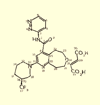 O=C(Nc1cccnn1)c1cc(N2CCC[C@H](C(F)(F)F)C2)nc2c1CCOCC2.O=C(O)C=CC(=O)O